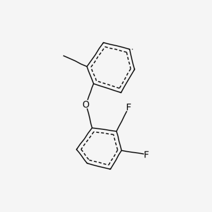 Cc1c[c]ccc1Oc1cccc(F)c1F